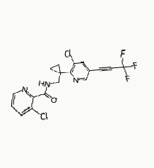 O=C(NCC1(c2ncc(C#CC(F)(F)F)cc2Cl)CC1)c1ncccc1Cl